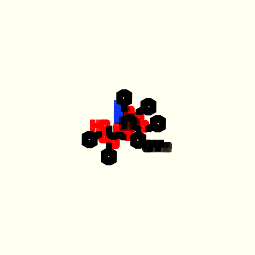 COc1ccc(OCC(O[C@H]2O[C@H](COCc3ccccc3)[C@@H](OCc3ccccc3)[C@H](OCc3ccccc3)[C@H]2N=[N+]=[N-])C(OCc2ccccc2)C(CO)OCc2ccccc2)cc1